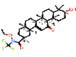 CCON(C(=O)[C@@]1(C)CC[C@]2(C)CC[C@]3(C)C(=CC(=O)[C@@H]4[C@@]5(C)CC[C@H](O)C(C)(C)C5CC[C@]43C)[C@@H]2C1)C(F)(F)F